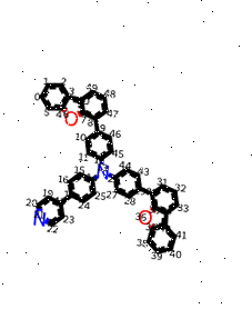 c1ccc2c(c1)oc1c(-c3ccc(N(c4ccc(-c5ccncc5)cc4)c4ccc(-c5cccc6c5oc5ccccc56)cc4)cc3)cccc12